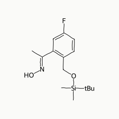 CC(=NO)c1cc(F)ccc1CO[Si](C)(C)C(C)(C)C